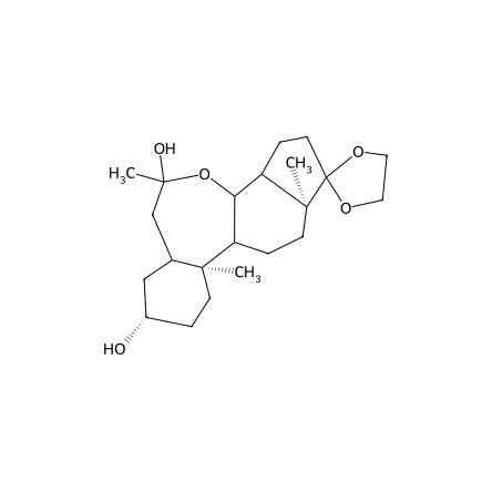 CC1(O)CC2C[C@@H](O)CC[C@]2(C)C2CC[C@@]3(C)C(CCC34OCCO4)C2O1